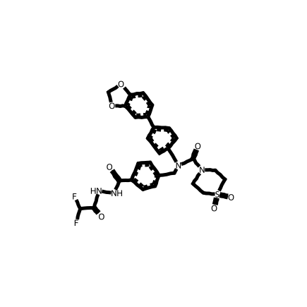 O=C(NNC(=O)C(F)F)c1ccc(CN(C(=O)N2CCS(=O)(=O)CC2)c2ccc(-c3ccc4c(c3)OCO4)cc2)cc1